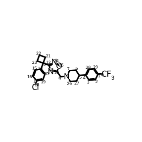 FC(F)(F)c1ccc(C2CCN(Cc3nc(C4(c5ccc(Cl)cc5)CCC4)no3)CC2)cc1